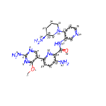 COc1nc(N)ncc1-c1ccc(N)c(C(=O)Nc2cnccc2N2CCC[C@H](N)C2)n1